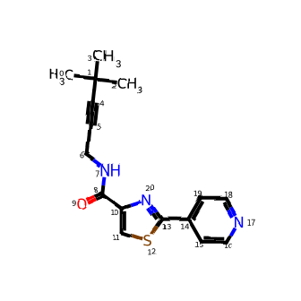 CC(C)(C)C#CCNC(=O)c1csc(-c2ccncc2)n1